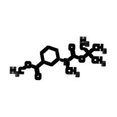 COC(=O)C1CCC[C@H](N(C)C(=O)OC(C)(C)C)C1